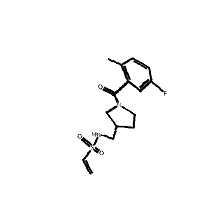 C=CS(=O)(=O)NCC1CCN(C(=O)c2cc(F)ccc2C)C1